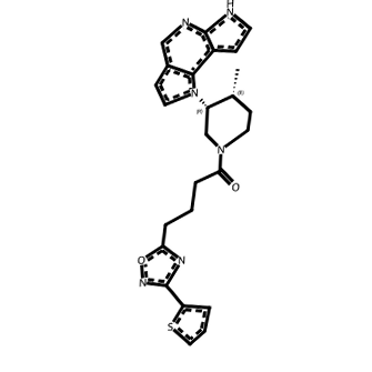 C[C@@H]1CCN(C(=O)CCCc2nc(-c3cccs3)no2)C[C@@H]1n1ccc2cnc3[nH]ccc3c21